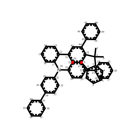 CC1(C)c2ccccc2-c2cc(-c3ccccc3N(c3ccc(-c4ccccc4)cc3)c3ccc(-c4ccccc4)cc3)cc(-c3ccccc3)c21